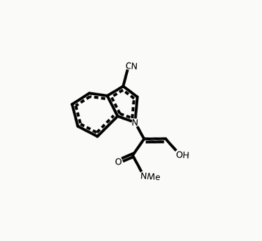 CNC(=O)C(=CO)n1cc(C#N)c2ccccc21